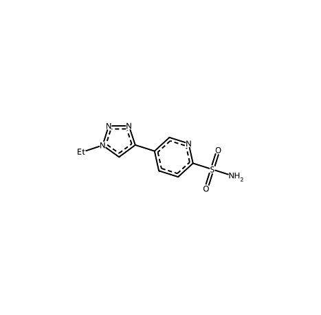 CCn1cc(-c2ccc(S(N)(=O)=O)nc2)nn1